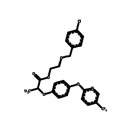 CC(Oc1ccc(Oc2ccc(C(F)(F)F)cn2)cc1)C(=O)OCCOCc1ccc(Cl)cc1